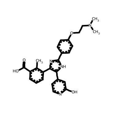 Cc1c(C(=O)O)cccc1-c1nc(-c2ccc(OCCN(C)C)cc2)[nH]c1-c1ccnc(O)c1